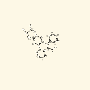 CC=C(c1ccccc1)C(c1ccccc1)c1ccc(OC(C)N(C)C)cc1